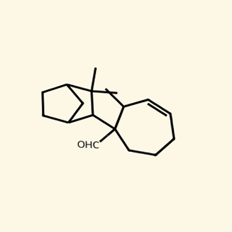 CC1C=CCCCC1(C=O)C1C2CCC(C2)C1(C)C